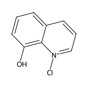 Oc1cccc2ccc[n+](Cl)c12